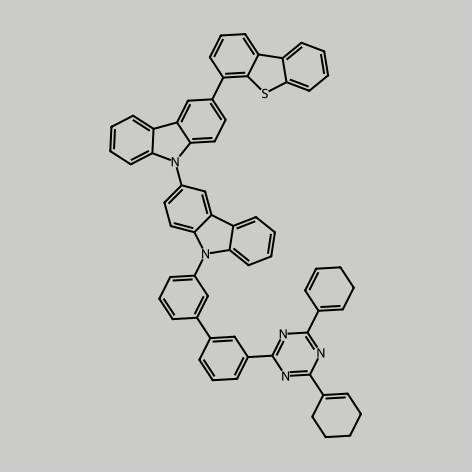 C1=CC(c2nc(C3=CCCCC3)nc(-c3cccc(-c4cccc(-n5c6ccccc6c6cc(-n7c8ccccc8c8cc(-c9cccc%10c9sc9ccccc9%10)ccc87)ccc65)c4)c3)n2)=CCC1